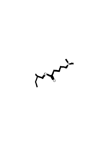 CCC(C)COC(=O)CCCCN(C)C